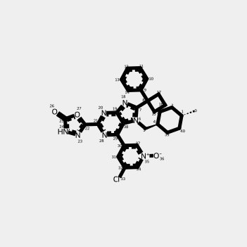 C[C@H]1CC[C@H](Cn2c(C3(c4ccccc4)CCC3)nc3nc(-c4n[nH]c(=O)o4)nc(-c4cc(Cl)c[n+]([O-])c4)c32)CC1